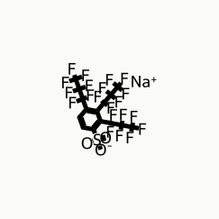 O=S(=O)([O-])c1ccc(C(F)(F)C(F)(F)C(F)(F)F)c(C(F)(F)C(F)(F)C(F)(F)F)c1C(F)(F)C(F)(F)C(F)(F)F.[Na+]